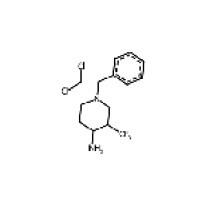 ClCCl.NC1CCN(Cc2ccccc2)CC1C(F)(F)F